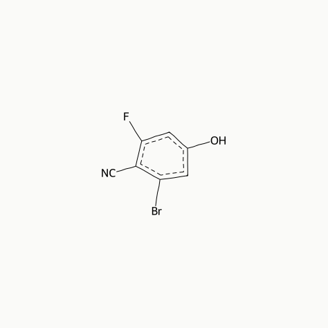 N#Cc1c(F)cc(O)cc1Br